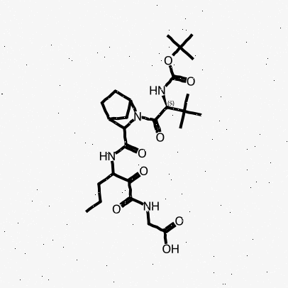 CCCC(NC(=O)C1C2CCC(C2)N1C(=O)[C@@H](NC(=O)OC(C)(C)C)C(C)(C)C)C(=O)C(=O)NCC(=O)O